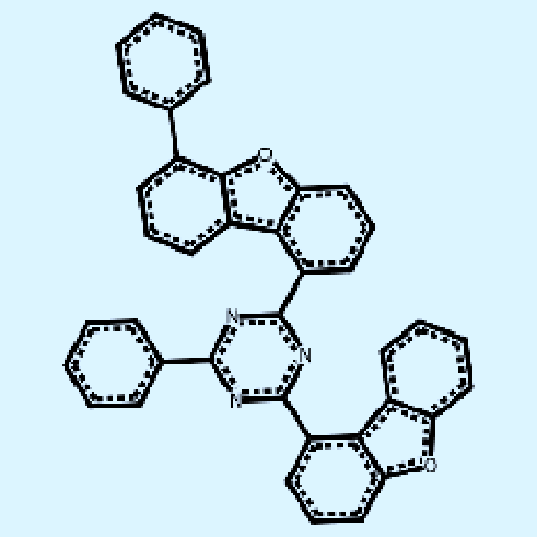 c1ccc(-c2nc(-c3cccc4oc5ccccc5c34)nc(-c3cccc4oc5c(-c6ccccc6)cccc5c34)n2)cc1